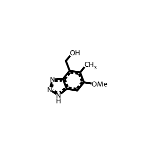 COc1cc2[nH]nnc2c(CO)c1C